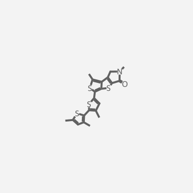 Cc1cc(C)c(-c2sc(-c3sc(C)c4c5c(sc34)C(=O)N(C)C5)cc2C)s1